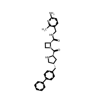 Cc1nc(N)ccc1CNC(=O)[C@@H]1CCN1C(=O)[C@H]1C[C@H](Cc2ccc(-c3ccccc3)cc2)CN1